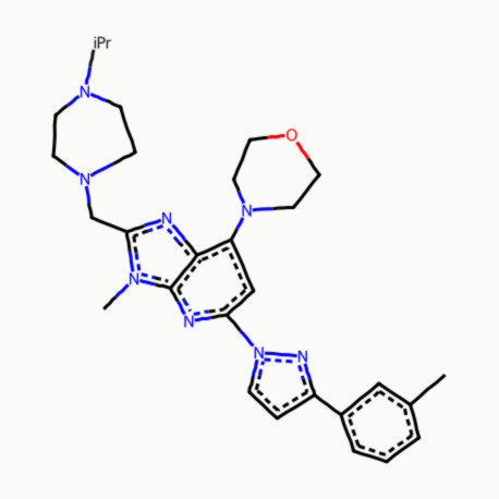 Cc1cccc(-c2ccn(-c3cc(N4CCOCC4)c4nc(CN5CCN(C(C)C)CC5)n(C)c4n3)n2)c1